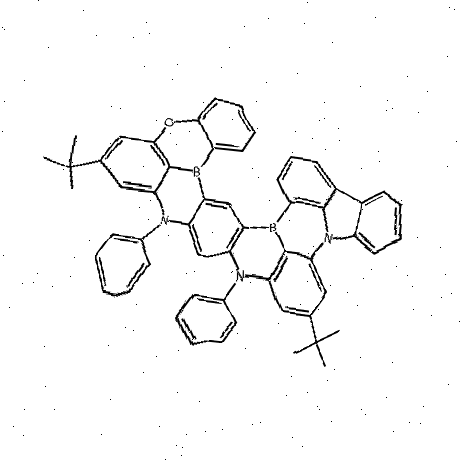 CC(C)(C)c1cc2c3c(c1)N(c1ccccc1)c1cc4c(cc1B3c1ccccc1O2)B1c2c(cc(C(C)(C)C)cc2-n2c3ccccc3c3cccc1c32)N4c1ccccc1